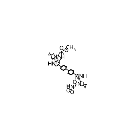 COC(=O)NCC(=O)N1CC2(CC2)C[C@H]1c1nc(-c2ccc(-c3ccc(-c4c[nH]c(C5CC6(CC6)CN5C(=O)CNC(=O)O)n4)cc3)cc2)c[nH]1